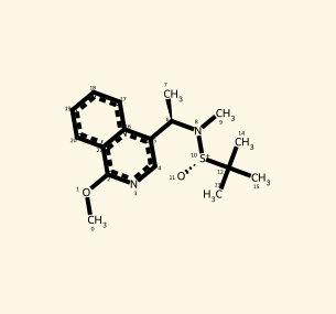 COc1ncc([C@@H](C)N(C)[S@@+]([O-])C(C)(C)C)c2ccccc12